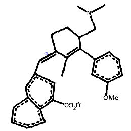 CCOC(=O)c1cc(/C=C2/CCC(CN(C)C)C(c3cccc(OC)c3)=C2C)cc2ccccc12